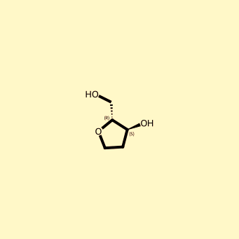 OC[C@H]1OCC[C@@H]1O